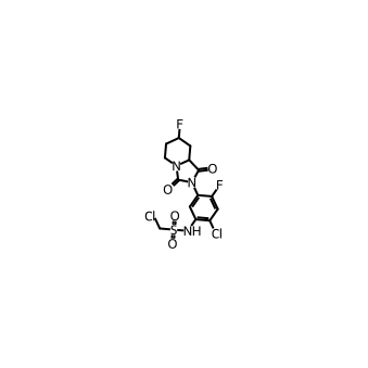 O=C1C2CC(F)CCN2C(=O)N1c1cc(NS(=O)(=O)CCl)c(Cl)cc1F